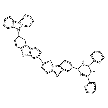 C1=CC(n2c3ccccc3c3ccccc32)Cc2c1sc1cc(-c3ccc4oc5cc(C6N=C(c7ccccc7)NC(c7ccccc7)N6)ccc5c4c3)ccc21